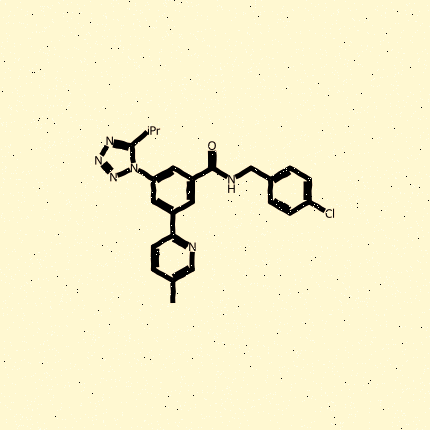 Cc1ccc(-c2cc(C(=O)NCc3ccc(Cl)cc3)cc(-n3nnnc3C(C)C)c2)nc1